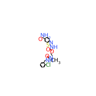 CN(CCOC(=O)Nc1nc2ccc(C(N)=O)cc2s1)C(=O)NCc1ccccc1Cl